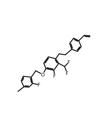 C=Cc1ccc(CCc2ccc(OCc3ccc(C)cc3F)c(F)c2C(F)F)cc1